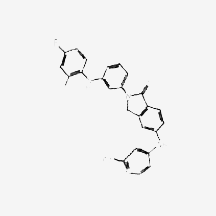 Cc1cc(Nc2ccc3c(c2)CN(c2cccc(Nc4ccc(F)cc4F)c2)C3=O)ccn1